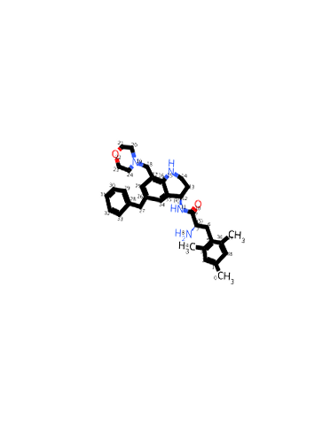 Cc1cc(C)c(C[C@H](N)C(=O)N[C@@H]2CCNc3c(CN4CCOCC4)cc(Cc4ccccc4)cc32)c(C)c1